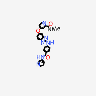 CNC(=O)c1cc(Oc2ccc3c(c2)nc(Nc2ccc(C(=O)NC4CN5CCC4CC5)cc2)n3C)ccn1